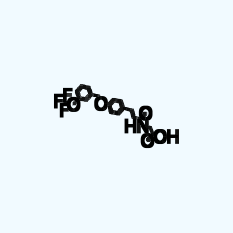 O=C(O)CNC(=O)/C=C/c1ccc(OCc2cccc(OC(F)(F)F)c2)cc1